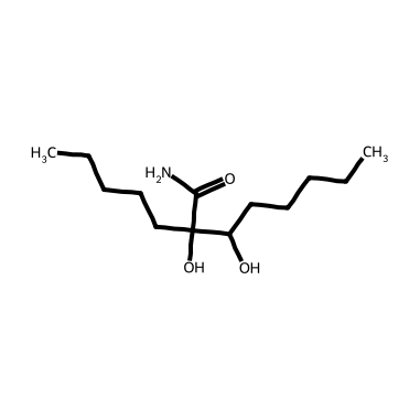 CCCCCC(O)C(O)(CCCCC)C(N)=O